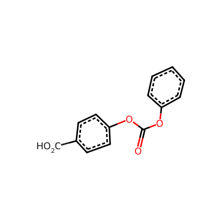 O=C(Oc1ccccc1)Oc1ccc(C(=O)O)cc1